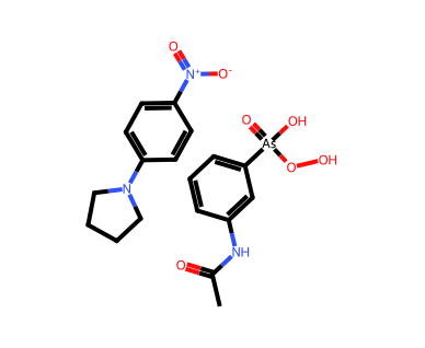 CC(=O)Nc1cccc([As](=O)(O)OO)c1.O=[N+]([O-])c1ccc(N2CCCC2)cc1